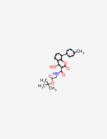 Cc1ccc(-c2cccc3c(O)c(C(=O)NCC(=O)OC(C)(C)C)c(=O)oc23)cc1